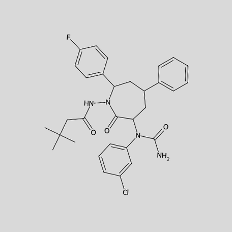 CC(C)(C)CC(=O)NN1C(=O)C(N(C(N)=O)c2cccc(Cl)c2)CC(c2ccccc2)CC1c1ccc(F)cc1